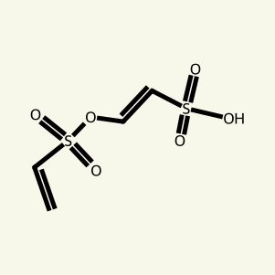 C=CS(=O)(=O)OC=CS(=O)(=O)O